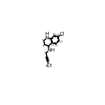 CCC#CCNC1CCNc2cc(Cl)ccc21